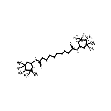 CN1C(C)(C)CC(OC(=O)CCCCCCCCC(=O)OC2CC(C)(C)N(C)C(C)(C)C2)CC1(C)C